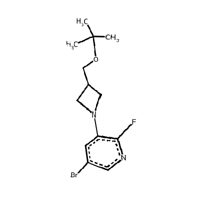 CC(C)(C)OCC1CN(c2cc(Br)cnc2F)C1